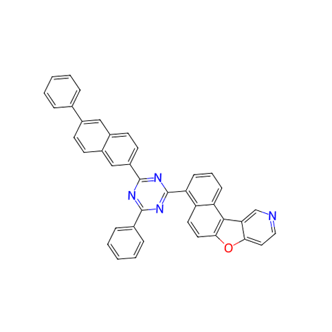 c1ccc(-c2ccc3cc(-c4nc(-c5ccccc5)nc(-c5cccc6c5ccc5oc7ccncc7c56)n4)ccc3c2)cc1